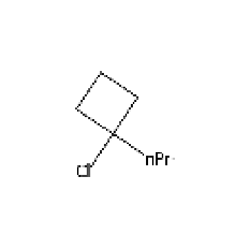 CC[CH]C1(Cl)CCC1